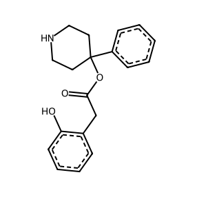 O=C(Cc1ccccc1O)OC1(c2ccccc2)CCNCC1